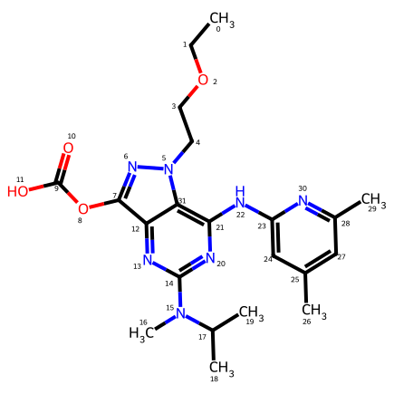 CCOCCn1nc(OC(=O)O)c2nc(N(C)C(C)C)nc(Nc3cc(C)cc(C)n3)c21